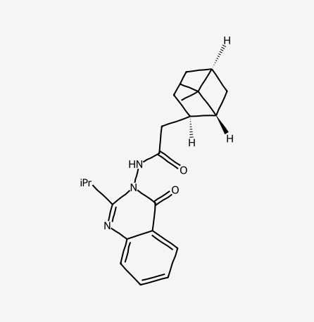 CC(C)c1nc2ccccc2c(=O)n1NC(=O)C[C@H]1CC[C@H]2C[C@H]1C2(C)C